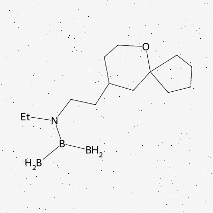 BB(B)N(CC)CCC1CCOC2(CCCC2)C1